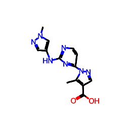 Cc1c(C(=O)O)cnn1-c1ccnc(Nc2cnn(C)c2)n1